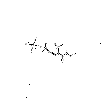 CCOC(=O)C(C=C=[N+](C)C)N(C)C.F[B-](F)(F)F